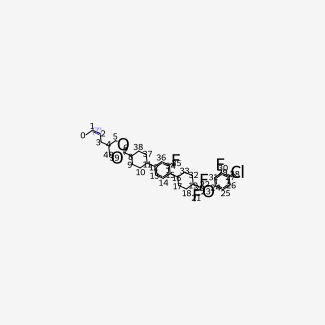 C/C=C\CC1COC(C2CCC(c3ccc(C4CCC(C(F)(F)Oc5ccc(Cl)c(F)c5)CC4)c(F)c3)CC2)OC1